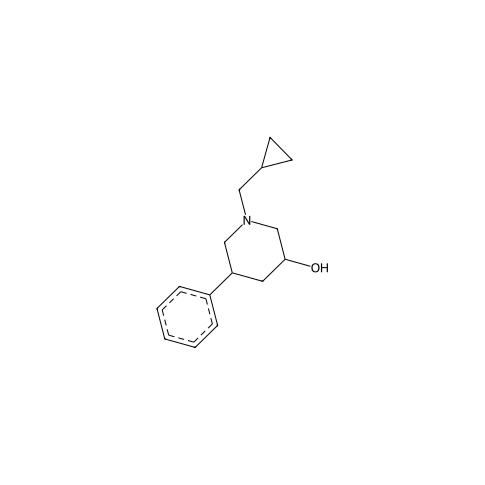 OC1CC(c2ccccc2)CN(CC2CC2)C1